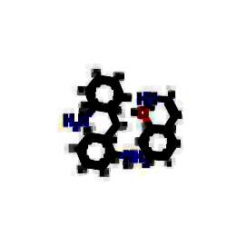 C1=Cc2ccccc2ON1.Nc1ccccc1Cc1ccccc1N